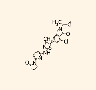 Cc1nc(Nc2cccc(N3CCCC3=O)n2)sc1-c1cc(Cl)c2c(c1)CN(C(C)C1CC1)C2=O